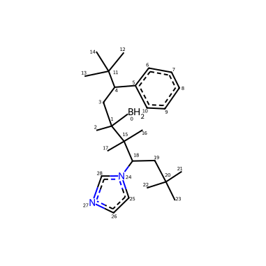 BC(C)(CC(c1ccccc1)C(C)(C)C)C(C)(C)C(CC(C)(C)C)n1ccnc1